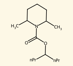 CCCC(CCC)OC(=O)N1C(C)CCCC1C